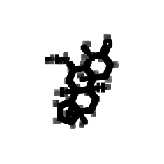 CCCCCCC1C[C@@H]2[C@@H](CC[C@]3(C)CCC[C@@H]23)[C@@]2(C)CCC(=O)N(C)C12